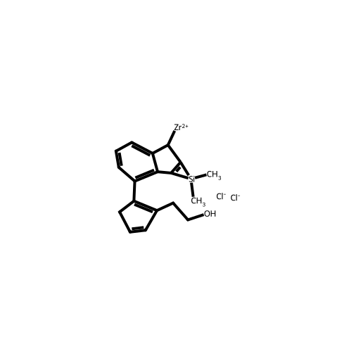 C[Si]1(C)C2=C1[CH]([Zr+2])c1cccc(C3=C(CCO)C=CC3)c12.[Cl-].[Cl-]